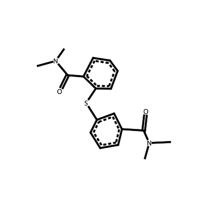 CN(C)C(=O)c1cccc(Sc2ccccc2C(=O)N(C)C)c1